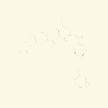 Cc1cc(Nc2ccc(OCc3cccnc3)cc2)nc(Nc2ccc(C)c(S(N)(=O)=O)c2)n1